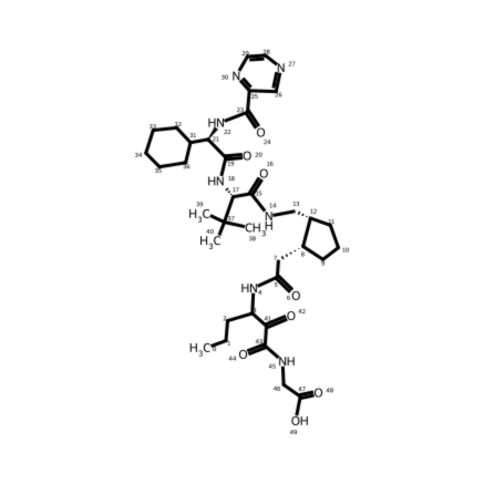 CCCC(NC(=O)C[C@H]1CCC[C@H]1CNC(=O)[C@@H](NC(=O)[C@H](NC(=O)c1cnccn1)C1CCCCC1)C(C)(C)C)C(=O)C(=O)NCC(=O)O